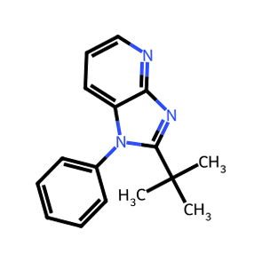 CC(C)(C)c1nc2ncccc2n1-c1ccccc1